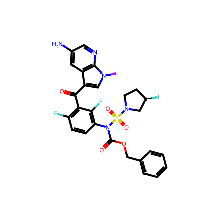 Nc1cnc2c(c1)c(C(=O)c1c(F)ccc(N(C(=O)OCc3ccccc3)S(=O)(=O)N3CC[C@@H](F)C3)c1F)cn2I